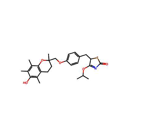 Cc1c(C)c2c(c(C)c1O)CCC(C)(COc1ccc(CC3SC(=O)N=C3OC(C)C)cc1)O2